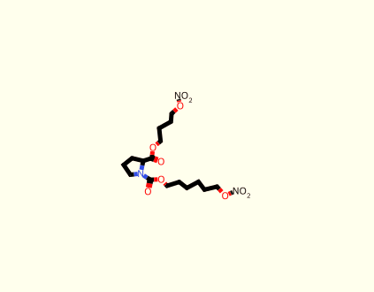 O=C(OCCCCO[N+](=O)[O-])C1CCCN1C(=O)OCCCCCCO[N+](=O)[O-]